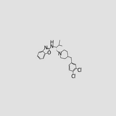 CC(C)[C@H](CN1CCC(Cc2ccc(Cl)c(Cl)c2)CC1)Nc1nc2ccccc2o1